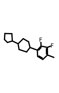 Cc1ccc(C2CCC(C3CCCC3)CC2)c(F)c1F